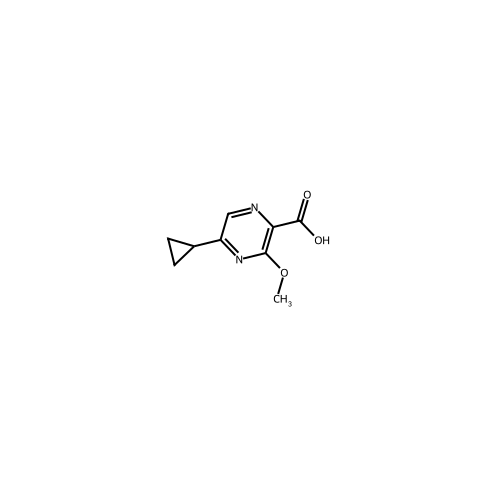 COc1nc(C2CC2)cnc1C(=O)O